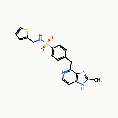 Cc1nc2c(Cc3ccc(S(=O)(=O)NCc4cccs4)cc3)nccc2[nH]1